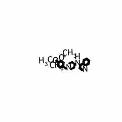 CCOc1cc(CN2CCC(Nc3ccnc4ccccc34)CC2)ccc1OC(C)C